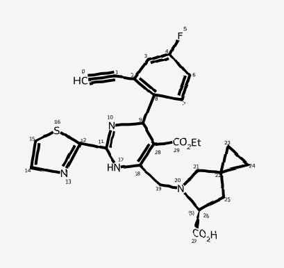 C#Cc1cc(F)ccc1C1N=C(c2nccs2)NC(CN2CC3(CC3)C[C@H]2C(=O)O)=C1C(=O)OCC